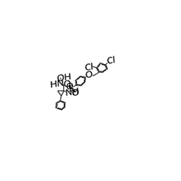 O=C(NO)C1(NS(=O)(=O)c2ccc(OCc3ccc(Cl)cc3Cl)cc2)CC1c1ccccc1